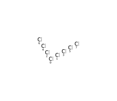 [C].[C].[C].[C].[C].[C].[C].[C]